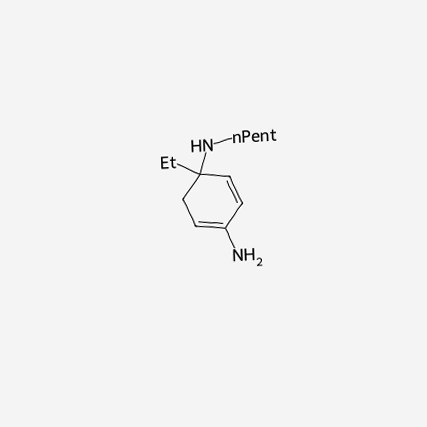 CCCCCNC1(CC)C=CC(N)=CC1